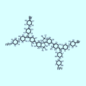 CCCc1ccc(-c2ccc(N(c3ccc(-c4ccc(Br)cc4)cc3)c3ccc(-c4ccc5c(c4)C4(CC5(C)C)CC(C)(C)c5ccc(-c6ccc(N(c7ccc(-c8ccc(Br)cc8)cc7)c7ccc(-c8ccc(CCC)cc8)cc7)cc6C)cc54)c(C)c3)cc2)cc1